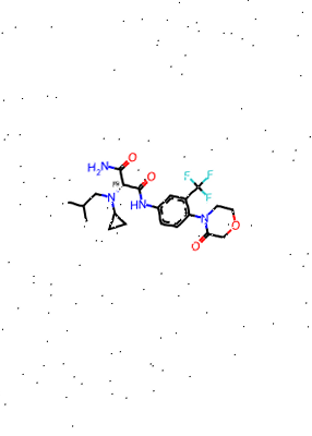 CC(C)CN(C1CC1)[C@H](C(N)=O)C(=O)Nc1ccc(N2CCOCC2=O)c(C(F)(F)F)c1